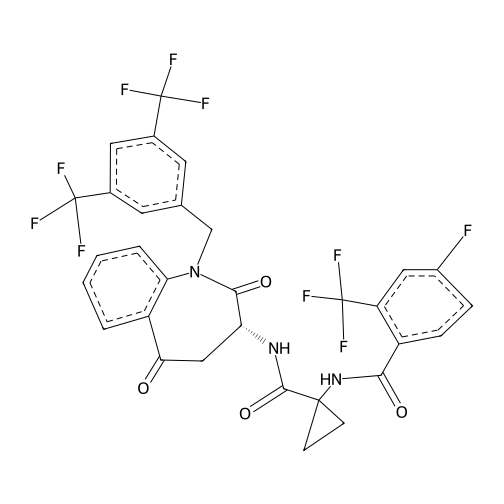 O=C1C[C@@H](NC(=O)C2(NC(=O)c3ccc(F)cc3C(F)(F)F)CC2)C(=O)N(Cc2cc(C(F)(F)F)cc(C(F)(F)F)c2)c2ccccc21